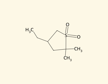 CCC1CC(C)(C)S(=O)(=O)C1